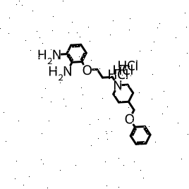 Cl.Cl.Cl.Nc1cccc(OCCCN2CCC(COc3ccccc3)CC2)c1N